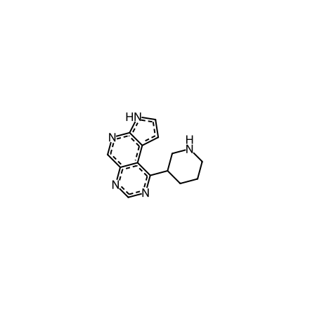 c1nc(C2CCCNC2)c2c(cnc3[nH]ccc32)n1